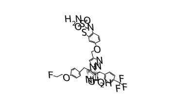 NC[C@@](Cc1ccc(OCCF)cc1)([C@@H](Cc1ccc(C(F)(F)F)cc1)C(=O)O)n1cc(COc2ccc3nc(S(N)(=O)=O)sc3c2)nn1